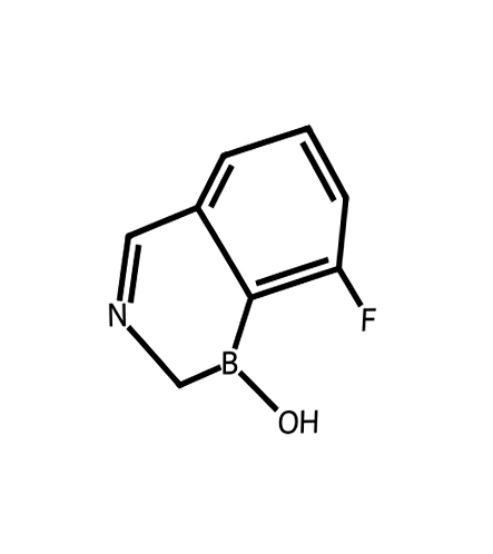 OB1CN=Cc2cccc(F)c21